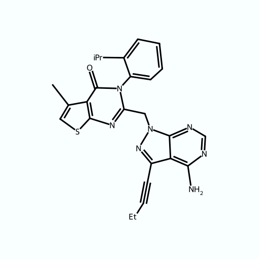 CCC#Cc1nn(Cc2nc3scc(C)c3c(=O)n2-c2ccccc2C(C)C)c2ncnc(N)c12